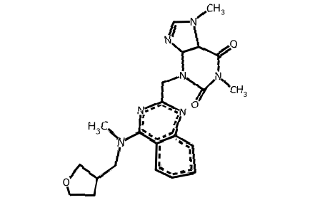 CN1C(=O)C2C(N=CN2C)N(Cc2nc(N(C)CC3CCOC3)c3ccccc3n2)C1=O